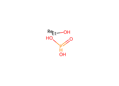 CCO.O=[PH](O)O.[Re]